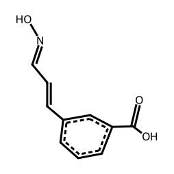 O=C(O)c1cccc(C=CC=NO)c1